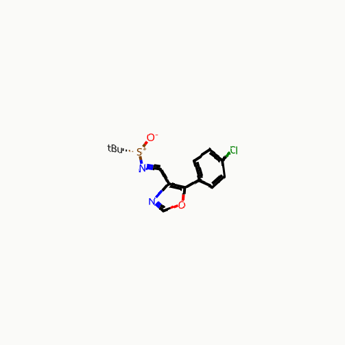 CC(C)(C)[S@+]([O-])/N=C/c1ncoc1-c1ccc(Cl)cc1